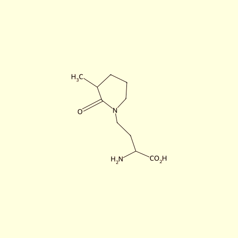 CC1CCCN(CCC(N)C(=O)O)C1=O